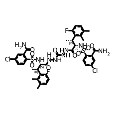 Cc1ccc(F)c([C@@H](C)[C@H](NS(=O)(=O)c2ccc(Cl)cc2C(N)=O)C(=O)NNC(=O)NNC(=O)[C@@H](NS(=O)(=O)c2ccc(Cl)cc2C(N)=O)[C@H](C)c2c(F)ccc(C)c2C)c1C